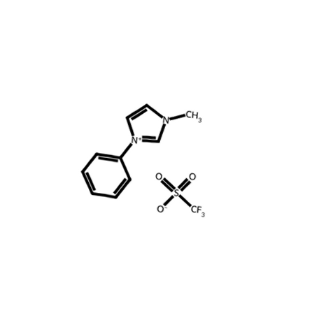 Cn1cc[n+](-c2ccccc2)c1.O=S(=O)([O-])C(F)(F)F